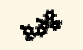 CCCc1nc(=O)ccn1Cc1ccc2oc(-c3ccccc3-c3nnn[nH]3)c(Br)c2c1